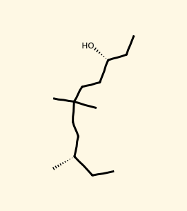 CC[C@H](C)CCC(C)(C)CC[C@H](O)CC